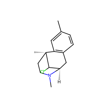 Cc1ccc2c(c1)[C@]1(C)CCN(C)[C@H](C2)C1Cl